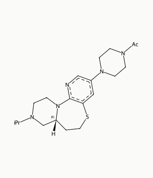 CC(=O)N1CCN(c2cnc3c(c2)SCC[C@@H]2CN(C(C)C)CCN32)CC1